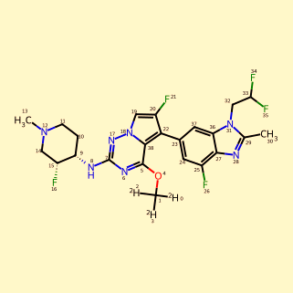 [2H]C([2H])([2H])Oc1nc(N[C@H]2CCN(C)C[C@H]2F)nn2cc(F)c(-c3cc(F)c4nc(C)n(CC(F)F)c4c3)c12